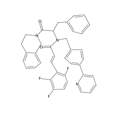 O=C(C(Cc1ccccc1)N(Cc1ccc(-c2ccccn2)cc1)C(=O)C=Cc1c(F)ccc(F)c1F)N1CCc2ccccc2C1